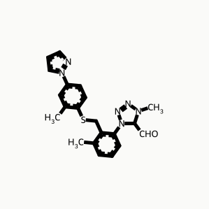 Cc1cc(-n2cccn2)ccc1SCc1c(C)cccc1N1N=NN(C)C1C=O